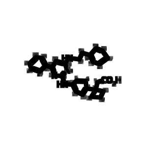 O=C(O)CC1(c2ccc(Nc3nc(NCCc4ccccc4)cc(-c4ccccc4)n3)cc2)CCC1